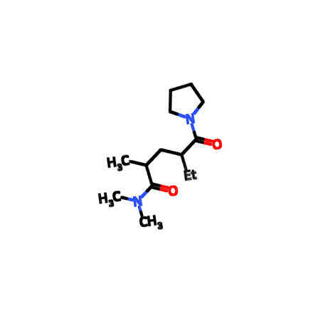 CCC(CC(C)C(=O)N(C)C)C(=O)N1CCCC1